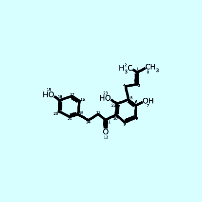 CC(C)=CCc1c(O)ccc(C(=O)CCc2ccc(O)cc2)c1O